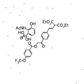 CC(=O)Nc1c(O)cccc1[As](=O)(O)O.CCOC(=O)C(C=Cc1ccc(C(=O)COC(=O)c2ccc(OC(F)(F)F)cc2)cc1)C(=O)OCC